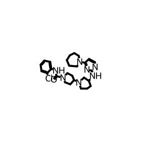 O=C(Nc1ccccc1Cl)N1CCC(N2CCCC(Nc3nccc(N4CCCCCC4)n3)C2)CC1